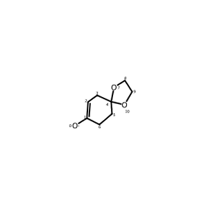 [O]C1=CCC2(CC1)OCCO2